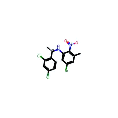 Cc1cc(Br)cc(N[C@H](C)c2ccc(Cl)cc2Cl)c1[N+](=O)[O-]